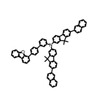 CC1(C)c2cc(-c3ccc4ccccc4c3)ccc2-c2ccc(N(c3cccc(-c4ccc(-c5cccc6c5oc5ccccc56)cc4)c3)c3ccc4c(c3)C(C)(C)c3cc(-c5ccc6ccccc6c5)ccc3-4)cc21